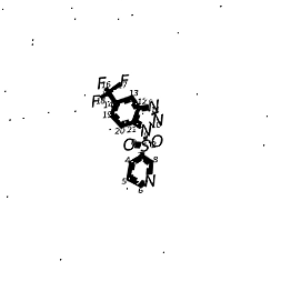 O=S(=O)(c1cccnc1)n1nnc2cc(C(F)(F)F)ccc21